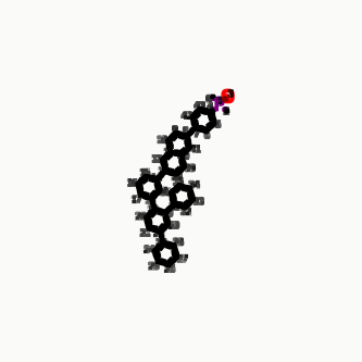 CP(C)(=O)c1ccc(-c2ccc3cc(-c4cccc(-c5ccc(-c6ccccc6)cc5-c5ccccc5)c4)ccc3c2)cc1